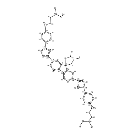 CCCC1(CCC)c2cc(-c3ccc(-c4ccc(OCCC(C)CC)cc4)s3)ccc2-c2ccc(-c3ccc(-c4ccc(OCCC(C)CC)cc4)s3)cc21